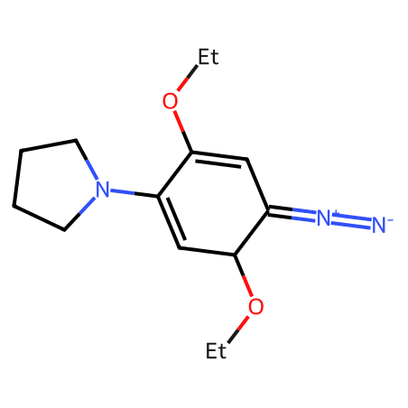 CCOC1=CC(=[N+]=[N-])C(OCC)C=C1N1CCCC1